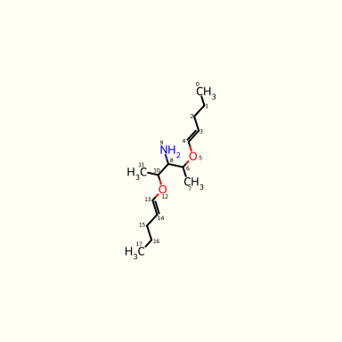 CCCC=COC(C)C(N)C(C)OC=CCCC